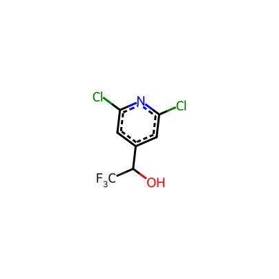 OC(c1cc(Cl)nc(Cl)c1)C(F)(F)F